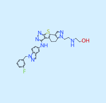 OCCNCCn1ncc2c1CCc1c-2sc2ncnc(Nc3ccc4c(cnn4Cc4cccc(F)c4)c3)c12